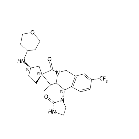 CC1C2[C@@H](N3CCNC3=O)c3ccc(C(F)(F)F)cc3CN2C(=O)[C@]12CC[C@@H](NC1CCOCC1)C2